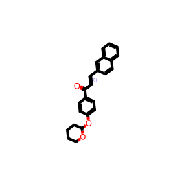 O=C(/C=C/c1ccc2ccccc2c1)c1ccc(OC2CCCCO2)cc1